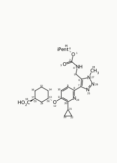 CCC[C@@H](C)OC(=O)NCc1c(-c2ccc(O[C@H]3CCC[C@H](C(=O)O)C3)c(C3CC3)n2)nnn1C